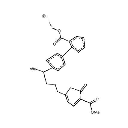 CCCCC(CCCC1=CC=C(C(=O)OC)C(=O)C1)c1ccc(-c2ccccc2C(=O)OC[C@@H](C)CC)cc1